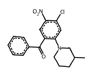 CC1CCCN(c2cc(Cl)c([N+](=O)[O-])cc2C(=O)c2ccccc2)C1